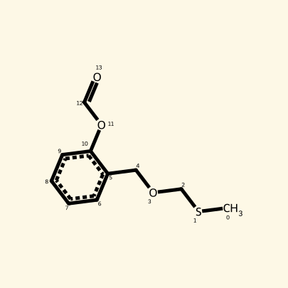 CSCOCc1ccccc1OC=O